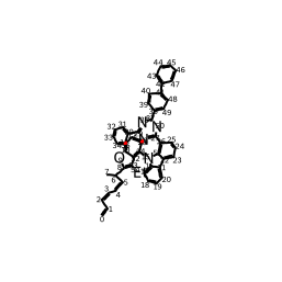 C=C/C=C\C=C/C(C)c1oc2cccc(-n3c4ccccc4c4cccc(-c5nc(-c6ccccc6)nc(-c6ccc(-c7ccccc7)cc6)n5)c43)c2c1CC